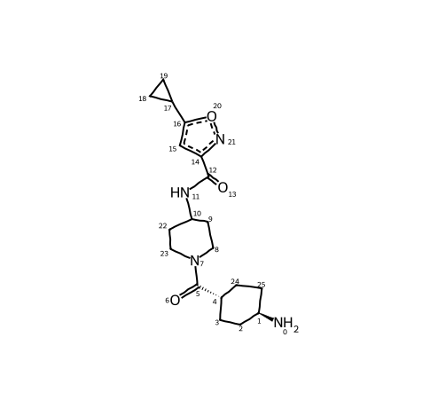 N[C@H]1CC[C@H](C(=O)N2CCC(NC(=O)c3cc(C4CC4)on3)CC2)CC1